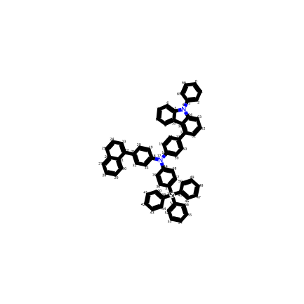 c1ccc(-n2c3ccccc3c3c(-c4ccc(N(c5ccc(-c6cccc7ccccc67)cc5)c5ccc([Si](c6ccccc6)(c6ccccc6)c6ccccc6)cc5)cc4)cccc32)cc1